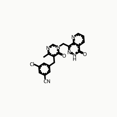 Cc1ncn(Cc2n[nH]c(=O)c3cccnc23)c(=O)c1Cc1cc(Cl)cc(C#N)c1